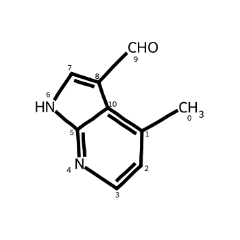 Cc1ccnc2[nH]cc(C=O)c12